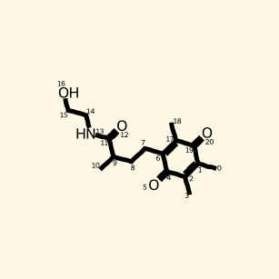 CC1=C(C)C(=O)C(CCC(C)C(=O)NCCO)=C(C)C1=O